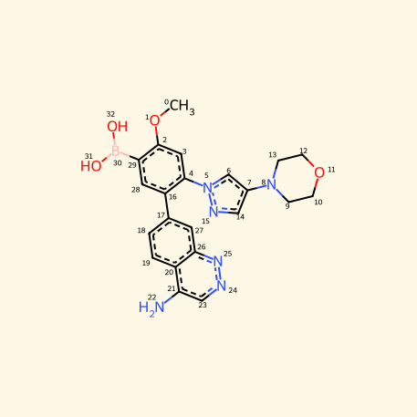 COc1cc(-n2cc(N3CCOCC3)cn2)c(-c2ccc3c(N)cnnc3c2)cc1B(O)O